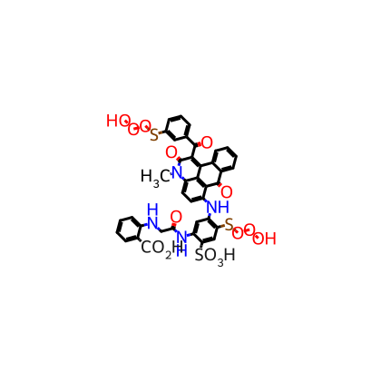 Cn1c(=O)c(C(=O)c2cccc(SOOO)c2)c2c3c(c(Nc4cc(NC(=O)CNc5ccccc5C(=O)O)c(S(=O)(=O)O)cc4SOOO)ccc31)C(=O)c1ccccc1-2